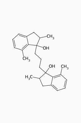 Cc1cccc2c1C(O)(CCCC1(O)c3c(C)cccc3CC1C)C(C)C2